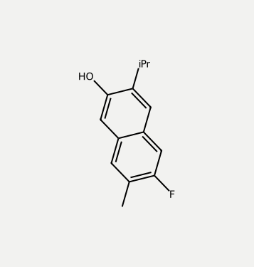 Cc1cc2cc(O)c(C(C)C)cc2cc1F